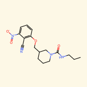 CCCNC(=O)N1CCCC(COc2cccc([N+](=O)[O-])c2C#N)C1